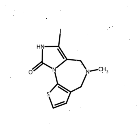 CN1Cc2ccsc2-n2c(c(I)[nH]c2=O)C1